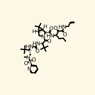 C=CCNC(=O)C(=O)C(CCC)NC(=O)[C@@H]1[C@@H]2[C@H](CN1C(=O)[C@@H](NC(=O)N[C@H](CN(C)S(=O)(=O)c1ccccn1)C(C)(C)C)C(C)(C)C)C2(C)C